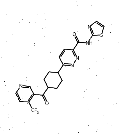 O=C(Nc1nccs1)c1ccc(C2CCC(C(=O)c3cnccc3C(F)(F)F)CC2)nn1